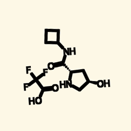 O=C(NC1CCC1)[C@@H]1C[C@@H](O)CN1.O=C(O)C(F)(F)F